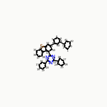 c1ccc(-c2cccc(-c3cc(-c4nc(-c5ccccc5)nc(-c5ccccc5)n4)c4c(c3)sc3ccccc34)c2)cc1